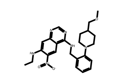 CCNc1cc2ncnc(NCc3ccccc3N3CCC(COC)CC3)c2cc1[N+](=O)[O-]